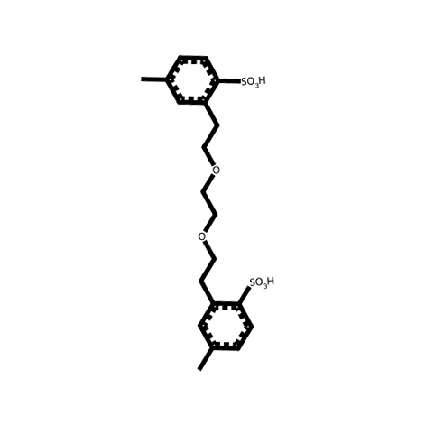 Cc1ccc(S(=O)(=O)O)c(CCOCCOCCc2cc(C)ccc2S(=O)(=O)O)c1